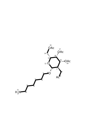 CC(=O)C[C@H]1[C@H](OCCCCCCN)O[C@H](COC(C)=O)[C@H](OC(C)=O)[C@@H]1OC(C)=O